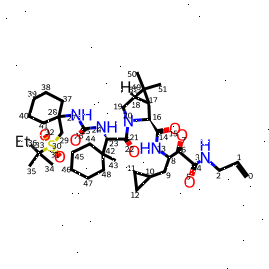 C=CCNC(=O)C(=O)C(CC1CC1)NC(=O)[C@@H]1C2[C@H](CN1C(=O)[C@@H](NC(=O)NC1(CS(=O)(=O)C(C)(C)CC)CCCCC1)C1(C)CCCCC1)C2(C)C